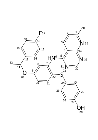 Cc1ccc2c(Nc3cc(OC(C)c4ccc(F)cc4)ccc3Sc3ccc(O)cc3)ncnc2n1